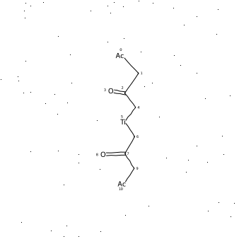 CC(=O)CC(=O)[CH2][Ti][CH2]C(=O)CC(C)=O